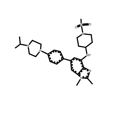 Cc1nc2c(NC3CCN(S(C)(=O)=O)CC3)cc(-c3ccc(N4CCN(C(C)C)CC4)cc3)cc2n1C